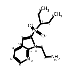 CCC(CC)S(=O)(=O)c1cc2cccnc2n1CCN